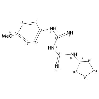 COc1ccc(NC(=N)NC(=N)NC2CCCC2)cc1